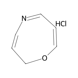 C1=COCC=CN=C1.Cl